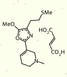 COc1oc(C2=CCCN(C)C2)nc1CCSC.O=C(O)C=CC(=O)O